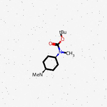 CN[C@H]1CC[C@@H](N(C)C(=O)OC(C)(C)C)CC1